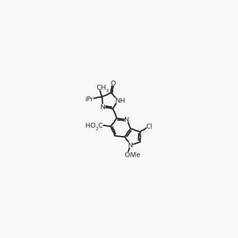 COn1cc(Cl)c2nc(C3=NC(C)(C(C)C)C(=O)N3)c(C(=O)O)cc21